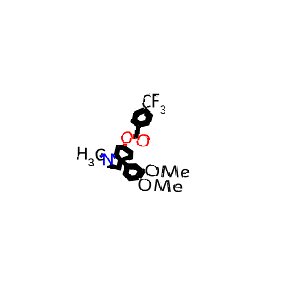 COc1ccc(C23CC=C(OC(=O)c4ccc(C(F)(F)F)cc4)CC2N(C)CC3)cc1OC